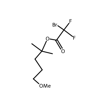 COCCCC(C)(C)OC(=O)C(F)(F)Br